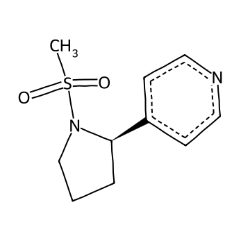 CS(=O)(=O)N1CCC[C@@H]1c1ccncc1